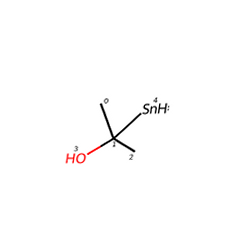 C[C](C)(O)[SnH]